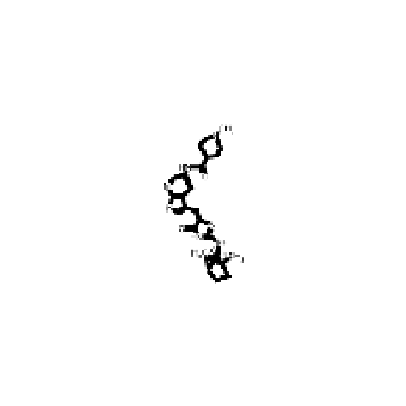 CN1CCC(C(=O)Nc2cnc3[nH]cc(C=C4N=C(NC5CC6CCC5(C)C6(C)C)NC4=O)c3c2)CC1